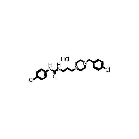 Cl.O=C(NCCCN1CCN(Cc2ccc(Cl)cc2)CC1)Nc1ccc(Cl)cc1